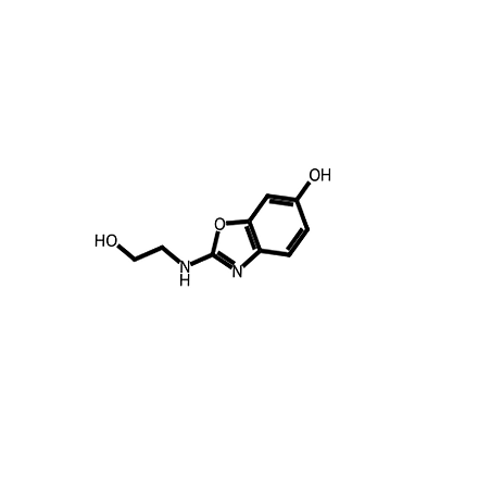 OCCNc1nc2ccc(O)cc2o1